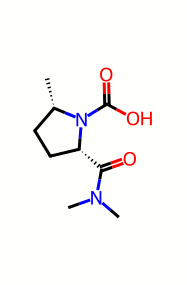 C[C@H]1CC[C@@H](C(=O)N(C)C)N1C(=O)O